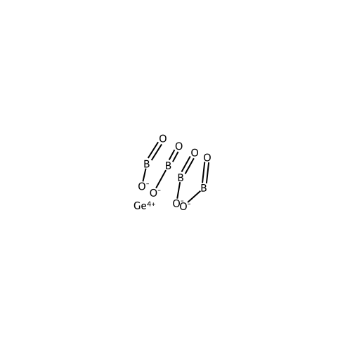 O=B[O-].O=B[O-].O=B[O-].O=B[O-].[Ge+4]